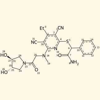 CCc1c(C#N)c(SC(C(N)=O)c2ccccc2)nc(N(C)CC(=O)N2C[C@H](O)[C@@H](O)C2)c1C#N